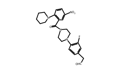 O=CCc1ccc(N2CCN(C(=O)c3cc([N+](=O)[O-])ccc3N3CCCCC3)CC2)c(F)c1